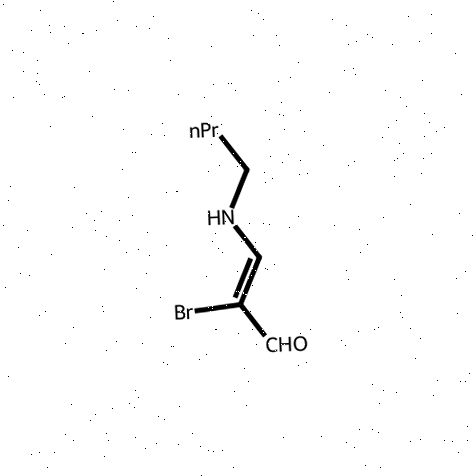 CCCCN/C=C(\Br)C=O